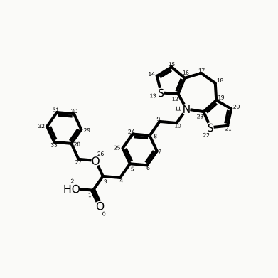 O=C(O)C(Cc1ccc(CCN2c3sccc3CCc3ccsc32)cc1)OCc1ccccc1